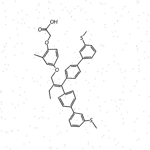 CCC(COc1ccc(OCC(=O)O)c(C)c1)=C(c1ccc(-c2cccc(SC)c2)cc1)c1ccc(-c2cccc(SC)c2)cc1